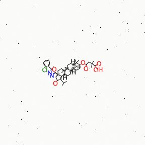 CC(C)C1=C2[C@H]3CC[C@@H]4[C@@]5(C)CC[C@H](OC(=O)CC(C)(C)C(=O)O)C(C)(C)[C@@H]5CC[C@@]4(C)[C@]3(C)CC[C@@]2(c2nnc(-c3ccccc3Cl)o2)CC1=O